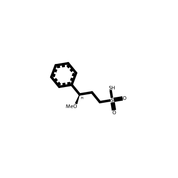 CO[C@H](CCS(=O)(=O)S)c1ccccc1